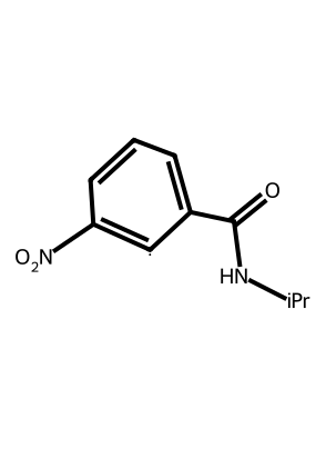 CC(C)NC(=O)c1[c]c([N+](=O)[O-])ccc1